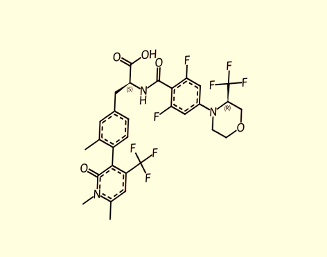 Cc1cc(C[C@H](NC(=O)c2c(F)cc(N3CCOC[C@@H]3C(F)(F)F)cc2F)C(=O)O)ccc1-c1c(C(F)(F)F)cc(C)n(C)c1=O